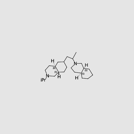 CC(C)N1CC[C@H]2CC(CC(C)N3CC[C@@H]4CCCC[C@@H]4C3)CC[C@@H]2C1